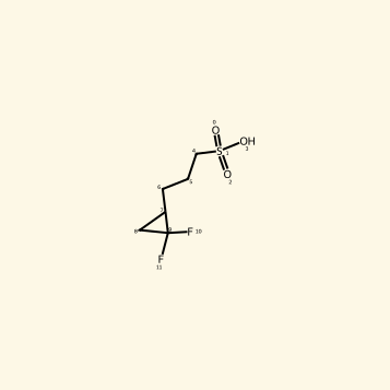 O=S(=O)(O)CCCC1CC1(F)F